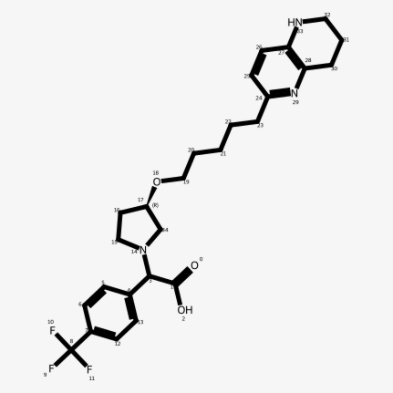 O=C(O)C(c1ccc(C(F)(F)F)cc1)N1CC[C@@H](OCCCCCc2ccc3c(n2)CCCN3)C1